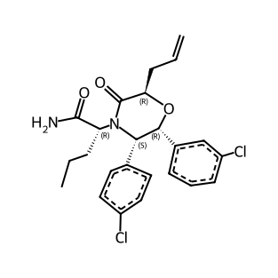 C=CC[C@H]1O[C@H](c2cccc(Cl)c2)[C@H](c2ccc(Cl)cc2)N([C@H](CCC)C(N)=O)C1=O